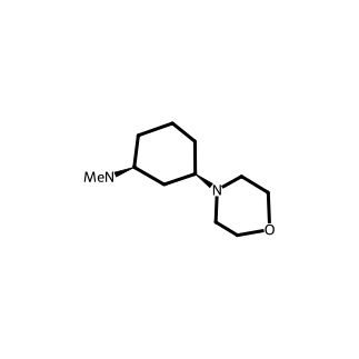 CN[C@H]1CCC[C@@H](N2CCOCC2)C1